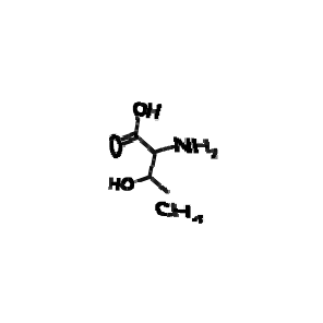 C.CC(O)C(N)C(=O)O